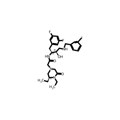 CC[C@H]1CN(CC(=O)N[C@@H](Cc2cc(F)cc(F)c2)[C@H](O)CNCc2cccc(I)c2)CC(=O)N1CC